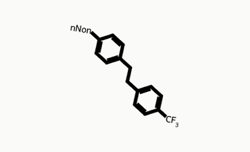 CCCCCCCCCc1ccc(CCc2ccc(C(F)(F)F)cc2)cc1